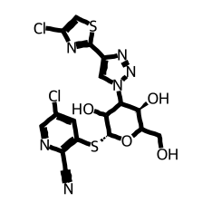 N#Cc1ncc(Cl)cc1S[C@H]1OC(CO)[C@H](O)C(n2cc(-c3nc(Cl)cs3)nn2)C1O